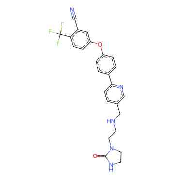 N#Cc1cc(Oc2ccc(-c3ccc(CNCCN4CCNC4=O)cn3)cc2)ccc1C(F)(F)F